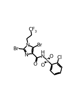 O=C(NS(=O)(=O)c1ccccc1Cl)c1nc(Br)n(CCC(F)(F)F)c1Br